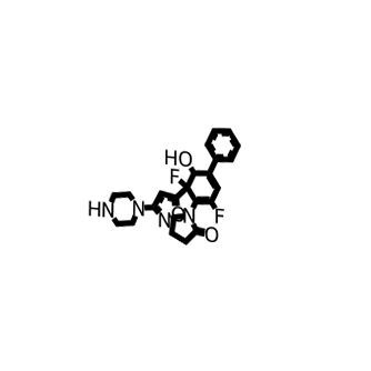 O=C1CCCN1C1=C(F)C=C(c2ccccc2)C(O)C1(F)c1cc(N2CCNCC2)no1